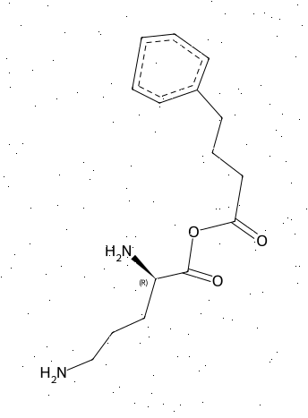 NCCC[C@@H](N)C(=O)OC(=O)CCCc1ccccc1